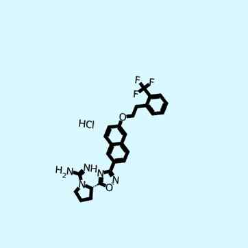 Cl.N=C(N)N1CCC[C@H]1c1nc(-c2ccc3cc(OCCc4ccccc4C(F)(F)F)ccc3c2)no1